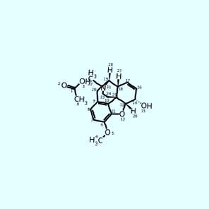 CC(=O)O.COc1ccc2c3c1O[C@H]1[C@@H](O)C=C[C@H]4[C@@H](C2)N(C)CC[C@@]341